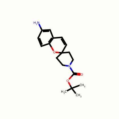 CC(C)(C)OC(=O)N1CCC2(C=Cc3cc(N)ccc3O2)CC1